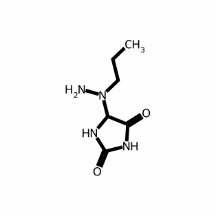 CCCN(N)C1NC(=O)NC1=O